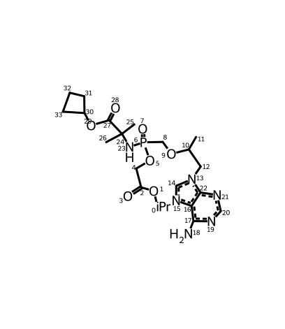 CC(C)OC(=O)COP(=O)(COC(C)Cn1cnc2c(N)ncnc21)NC(C)(C)C(=O)OC1CCC1